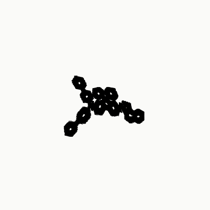 c1ccc(-c2ccc(N(c3ccc(-c4ccccc4)cc3)c3ccc4c(c3)C(c3ccccc3)(c3ccccc3)c3cc(-n5ccc6c7ccccc7ccc65)ccc3-4)cc2)cc1